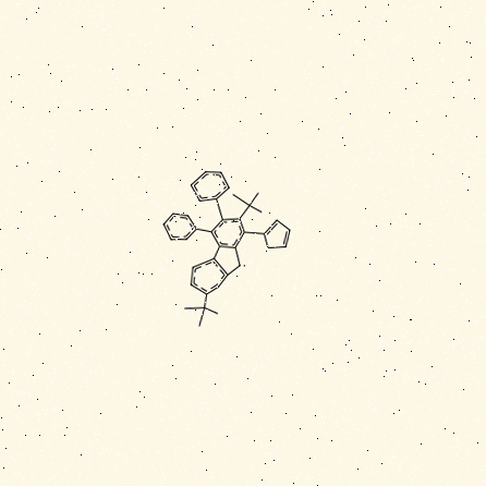 CC(C)(C)c1ccc2c(c1)[CH]c1c(C3=CC=CC3)c(C(C)(C)C)c(-c3ccccc3)c(-c3ccccc3)c1-2